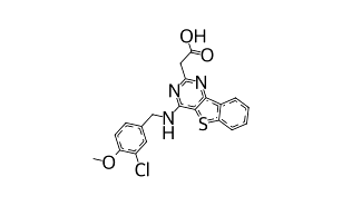 COc1ccc(CNc2nc(CC(=O)O)nc3c2sc2ccccc23)cc1Cl